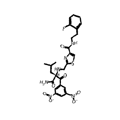 CC(C)C[C@](NCc1nc(C(=O)NCCc2ccccc2F)cs1)(C(N)=O)C(=O)c1cc([N+](=O)[O-])cc([N+](=O)[O-])c1